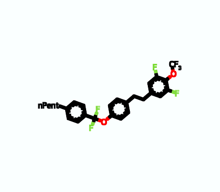 CCCCCc1ccc(C(F)(F)Oc2ccc(CCc3cc(F)c(OC(F)(F)F)c(F)c3)cc2)cc1